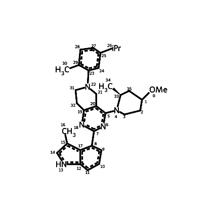 COC1CCN(c2nc(-c3cccc4[nH]cc(C)c34)nc3c2CN(c2cc(C(C)C)ccc2C)CC3)[C@@H](C)C1